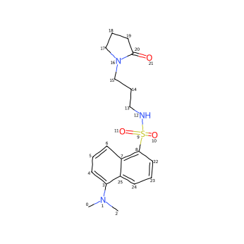 CN(C)c1cccc2c(S(=O)(=O)NCCCN3CCCC3=O)cccc12